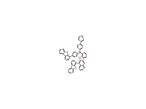 c1ccc(-c2ccc(N(c3ccc(-c4cccc5c4sc4ccccc45)cc3)c3cccc4c3oc3c(-c5cccc6c5sc5ccccc56)c5ccccc5cc34)cc2)cc1